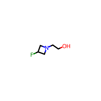 OCCN1CC(F)C1